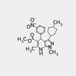 COC(=O)C1=C(C)Nc2c(c(C3CCC(C)CC3)nn2C)C1c1cccc([N+](=O)[O-])c1